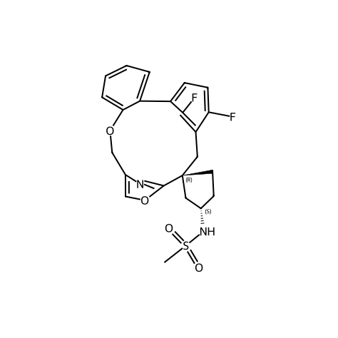 CS(=O)(=O)N[C@H]1CC[C@@]2(Cc3c(F)ccc(c3F)-c3ccccc3OCc3coc2n3)C1